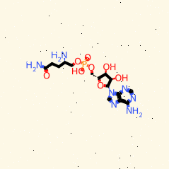 NC(=O)CC[C@H](N)COP(=O)(O)OC[C@H]1O[C@@H](n2cnc3c(N)ncnc32)[C@H](O)[C@@H]1O